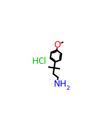 COc1ccc(C(C)(C)CCN)cc1.Cl